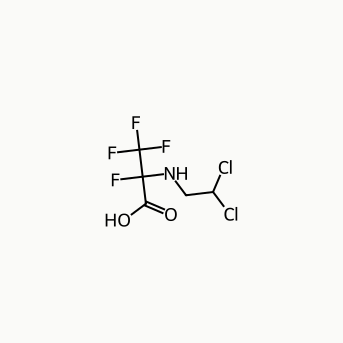 O=C(O)C(F)(NCC(Cl)Cl)C(F)(F)F